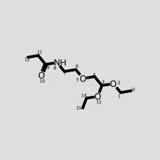 CCOC(COCCNC(=O)CC)OCC